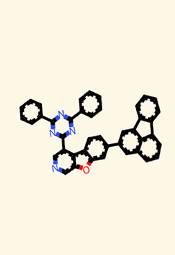 c1ccc(-c2nc(-c3ccccc3)nc(-c3cncc4oc5cc(-c6cc7c8c(cccc8c6)-c6ccccc6-7)ccc5c34)n2)cc1